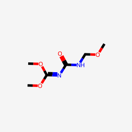 COCNC(=O)N=C(OC)OC